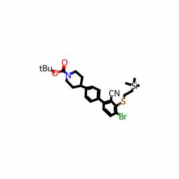 CC(C)(C)OC(=O)N1CCC(c2ccc(-c3ccc(Br)c(SCC[Si](C)(C)C)c3C#N)cc2)CC1